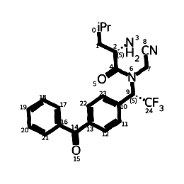 CC(C)C[C@H](N)C(=O)N(CC#N)[C@@H](c1ccc(C(=O)c2ccccc2)cc1)C(F)(F)F